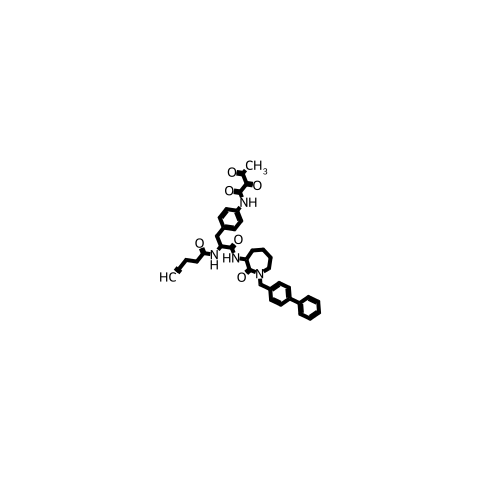 C#CCCC(=O)NC(Cc1ccc(NC(=O)C(=O)C(C)=O)cc1)C(=O)NC1CCCCN(Cc2ccc(-c3ccccc3)cc2)C1=O